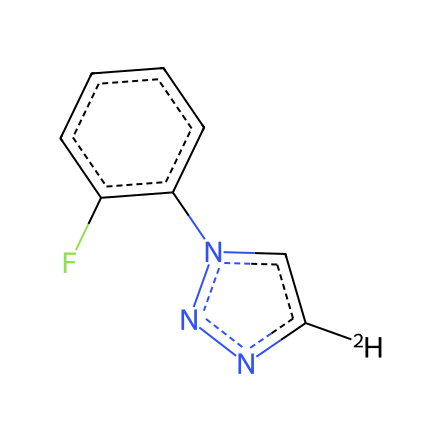 [2H]c1cn(-c2ccccc2F)nn1